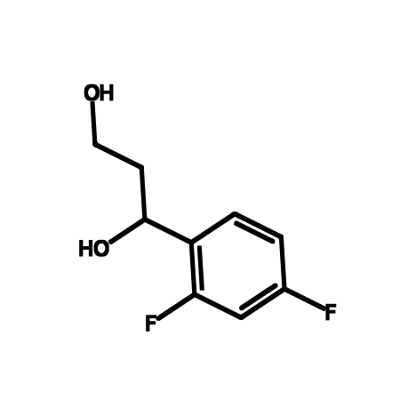 OCCC(O)c1ccc(F)cc1F